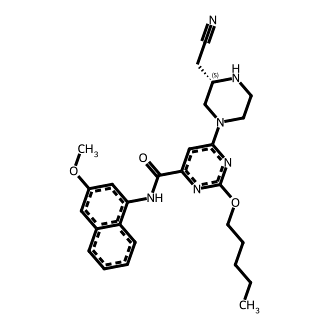 CCCCCOc1nc(C(=O)Nc2cc(OC)cc3ccccc23)cc(N2CCN[C@@H](CC#N)C2)n1